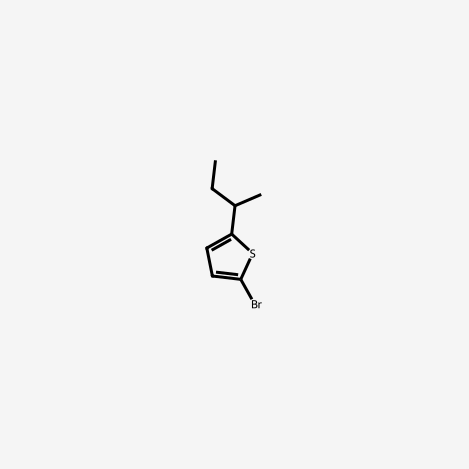 CCC(C)c1ccc(Br)s1